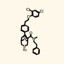 CC(=O)N1CC2CC(c3ccc(CCOc4ccc(Cl)cc4Cl)cc3)=C(C(=O)N(C)CCc3ccccc3)C(C1)N2